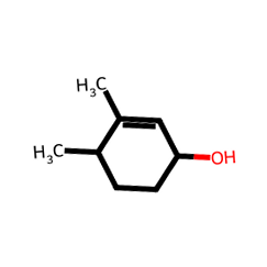 CC1=CC(O)CCC1C